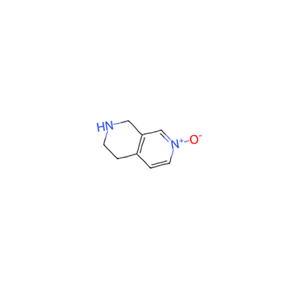 [O-][n+]1ccc2c(c1)CNCC2